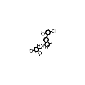 COc1ccc(CNc2ncc(C)c3cc(-c4cc(Cl)ccc4OC)ccc23)c(OC)c1